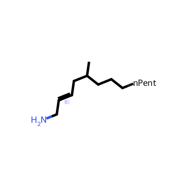 CCCCCCCCC(C)C/C=C/CN